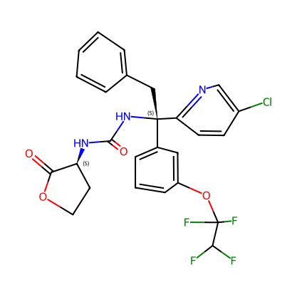 O=C(N[C@H]1CCOC1=O)N[C@@](Cc1ccccc1)(c1cccc(OC(F)(F)C(F)F)c1)c1ccc(Cl)cn1